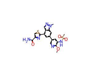 COc1ncc(-c2cc(-c3nc(C(N)=O)cs3)c3cnn(C)c3c2)cc1NS(C)(=O)=O